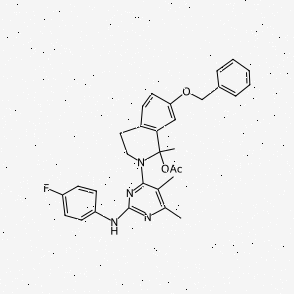 CC(=O)OC1(C)c2cc(OCc3ccccc3)ccc2CCN1c1nc(Nc2ccc(F)cc2)nc(C)c1C